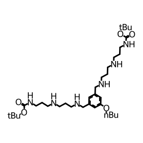 CCCCOc1cc(CNCCCNCCCNC(=O)OC(C)(C)C)cc(CNCCCNCCCNC(=O)OC(C)(C)C)c1